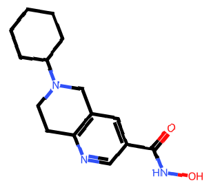 O=C(NO)c1cnc2c(c1)CN(C1CCCCC1)CC2